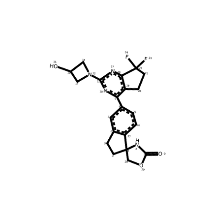 O=C1NC2(CCc3cc(-c4nc(N5CC(O)C5)nc5c4CCC5(F)F)ccc32)CO1